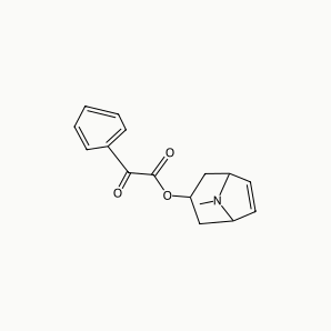 CN1C2C=CC1CC(OC(=O)C(=O)c1ccccc1)C2